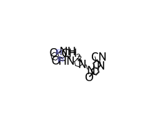 C=C(/C=C1/OCCO/C1=C/N)CNC1CCN(CCn2c(=O)ccc3ncc(C#N)cc32)CC1